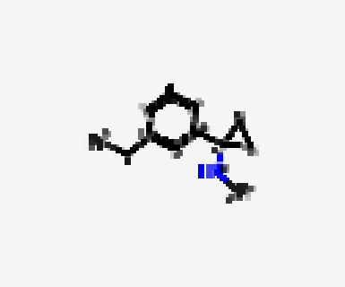 CC(C)Cc1cccc(C2(NC(C)C)CC2)c1